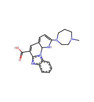 CN1CCCN(C2=CC=C3C=C(C(=O)O)c4nc5ccccc5n4C3N2)CC1